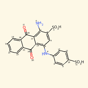 Nc1c(S(=O)(=O)O)cc(Nc2ccc(S(=O)(=O)O)cc2)c2c1C(=O)c1ccccc1C2=O